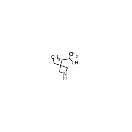 CCC1(CC(C)C)CNC1